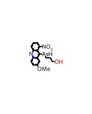 COc1ccc2nc3cccc([N+](=O)[O-])c3c([AsH]CCCO)c2c1